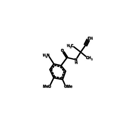 C#CC(C)(C)NC(=O)c1cc(OC)c(OC)cc1N